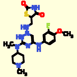 COc1ccc(NC2=CN(NCC3SC(=O)NC3=O)NC(N(C)C3CCN(C)CC3)=N2)cc1F